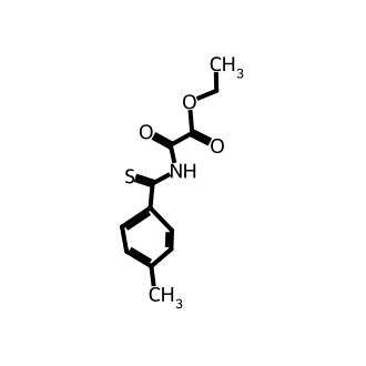 CCOC(=O)C(=O)NC(=S)c1ccc(C)cc1